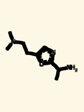 CC(N)c1ncc(CCN(C)C)o1